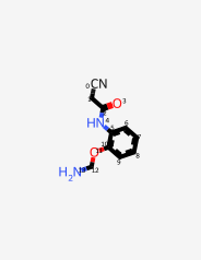 N#CCC(=O)Nc1ccccc1OCN